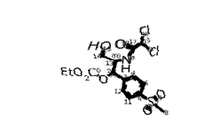 CCOC(=O)O[C@H](c1ccc(S(C)(=O)=O)cc1)[C@@H](CO)NC(=O)C(Cl)Cl